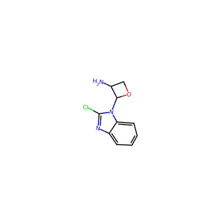 NC1COC1n1c(Cl)nc2ccccc21